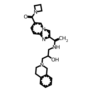 C=C(NCC(O)CN1CCc2ccccc2C1)c1cn2cc(C(=O)N3CCC3)ccc2n1